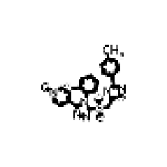 Cc1ccc(-c2noc(CS(=O)(=O)c3nnc(-c4cc[n+]([O-])cc4)n3-c3ccccc3Cl)n2)cc1